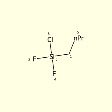 CCCC[Si](F)(F)Cl